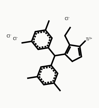 CCC1=C(C(c2cc(C)cc(C)c2)c2cc(C)cc(C)c2)CC=[C]1[Ti+3].[Cl-].[Cl-].[Cl-]